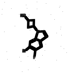 OC1CC(n2ccc3cc(F)c(Br)cc32)C1